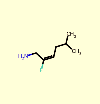 CC(C)C/C=C(/F)CN